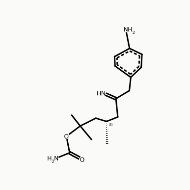 C[C@@H](CC(=N)Cc1ccc(N)cc1)CC(C)(C)OC(N)=O